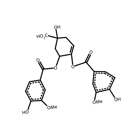 COc1cc(C(=O)OC2=CCC(O)(C(=O)O)CC2OC(=O)c2ccc(O)c(OC)c2)ccc1O